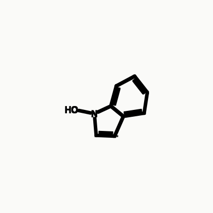 On1c[c]c2ccccc21